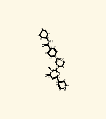 Cn1c(N2CCO[C@@H](c3ccc(C(=O)NC4CCCCC4)cc3)C2)nc(-c2ccncc2)cc1=O